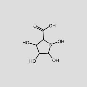 O=C(O)C1C(O)C(O)C(O)N1O